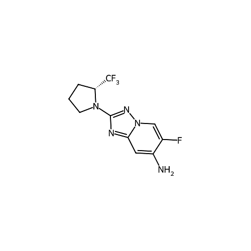 Nc1cc2nc(N3CCC[C@@H]3C(F)(F)F)nn2cc1F